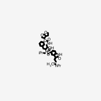 CCCN(C)CC=C1C(=O)Nc2ccc(S(=O)(=O)N(CC(C)C)C(Cc3ccccc3)C(O)CNC(=O)OC3COC4OCCC34)cc21